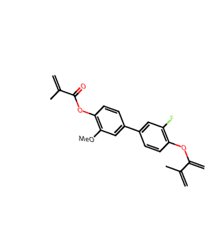 C=C(C)C(=C)Oc1ccc(-c2ccc(OC(=O)C(=C)C)c(OC)c2)cc1F